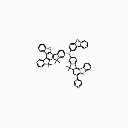 CC1(C)c2cc(N(c3ccc4c(c3)C(C)(C)c3c5c(c6c(oc7ccccc76)c3-4)-c3ccccc3C5(C)C)c3ccc4oc5ccccc5c4c3)ccc2-c2c1cc(-c1ccncc1)c1oc3ccccc3c21